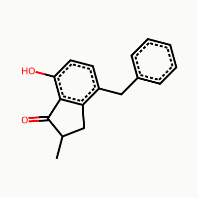 CC1Cc2c(Cc3ccccc3)ccc(O)c2C1=O